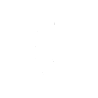 CN(C)C(=O)Nc1scc(C(F)(F)Cl)c1Cl